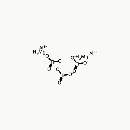 [Al+3].[Al+3].[MgH2].[MgH2].[O]=[Ti]([O-])[O-].[O]=[Ti]([O-])[O-].[O]=[Ti]([O-])[O-]